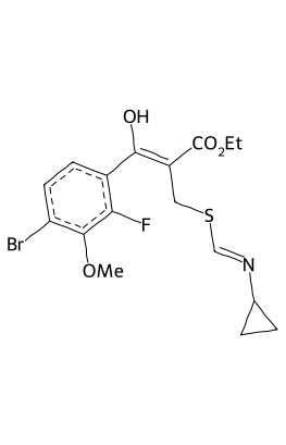 CCOC(=O)C(CSC=NC1CC1)=C(O)c1ccc(Br)c(OC)c1F